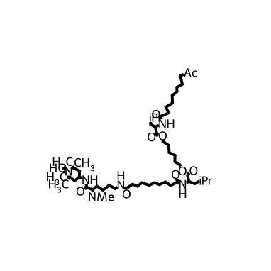 CNC(CCCCNC(=O)CCCCCCCCC(=O)NC(CC(C)C)C(=O)OCCCCCCOC(=O)C(CC(C)C)NC(=O)CCCCCCCCC(C)=O)C(=O)NC1CC(C)(C)N(O)C(C)(C)C1